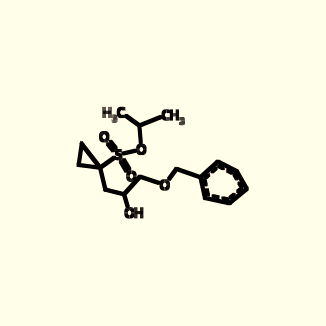 CC(C)OS(=O)(=O)C1(CC(O)COCc2ccccc2)CC1